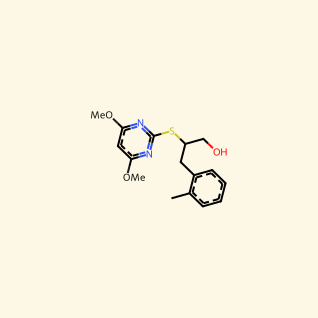 COc1cc(OC)nc(SC(CO)Cc2ccccc2C)n1